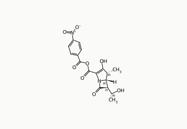 C[C@@H](O)[C@H]1C(=O)N2C(C(=O)OC(=O)c3ccc([N+](=O)[O-])cc3)=C(O)[C@H](C)[C@H]12